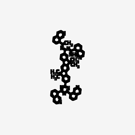 C=C(/N=C(\N=C(/N)c1cccc2ccncc12)c1ccc2c(c1)C(C)(C)c1cc3c(cc1-2)C(C)(C)c1cc(-c2nc(-c4cccc5ccncc45)nc(-c4cccc5ccncc45)n2)ccc1-3)c1cccc2ccncc12